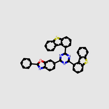 c1ccc(-c2nc3ccc(-c4nc(-c5cccc6sc7ccccc7c56)nc(-c5cccc6sc7ccccc7c56)n4)cc3o2)cc1